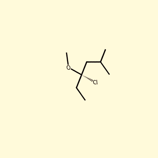 CC[C@](Cl)(CC(C)C)OC